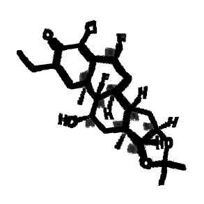 CCC1=C[C@@]2(C)C(=C(Cl)C1=O)[C@@H](F)C[C@H]1[C@@H]3C[C@H]4OC(C)(C)O[C@H]4[C@@]3(C)C[C@H](O)[C@@]12F